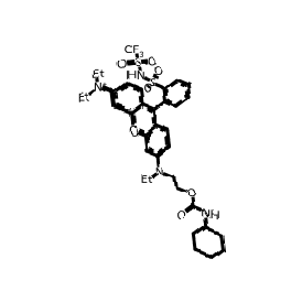 CCN(CCOC(=O)NC1CCCCC1)c1ccc2c(-c3ccccc3S(=O)(=O)NS(=O)(=O)C(F)(F)F)c3ccc(=[N+](CC)CC)cc-3oc2c1